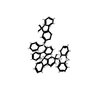 CC1(C)C2=C(CCC(N(C3=CCCC=C3)c3cccc4c3-c3ccccc3[C@@]43C4=C(C=CC(C)(N5c6ccccc6OC6=CC=CCC65)C4)c4ccccc43)=C2)c2ccccc21